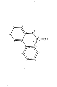 O=[PH]1OC2=CCCC=C2c2ccccc21